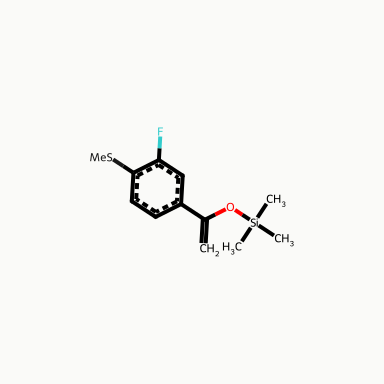 C=C(O[Si](C)(C)C)c1ccc(SC)c(F)c1